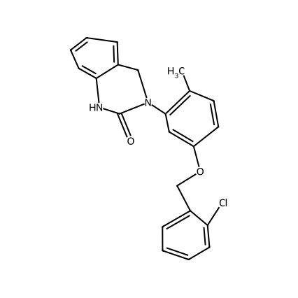 Cc1ccc(OCc2ccccc2Cl)cc1N1Cc2ccccc2NC1=O